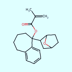 C=C(C)C(=O)OC1(C2CC3CCC2O3)CCCCc2ccccc21